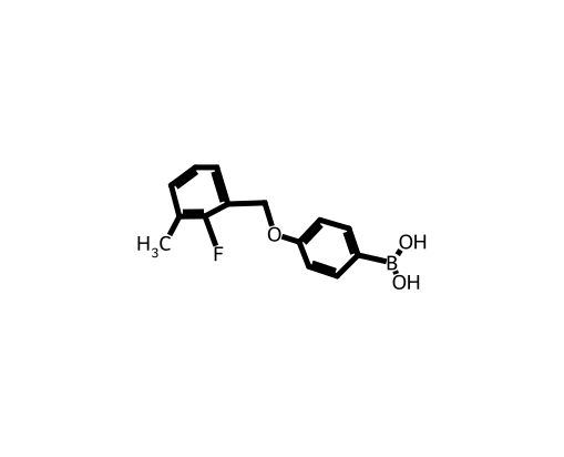 Cc1cccc(COc2ccc(B(O)O)cc2)c1F